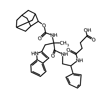 CC(Cc1cc2ccccc2[nH]1)(NC(=O)OC1C2CC3CC(C2)CC1C3)C(=O)NCC(NC(=O)CCC(=O)O)c1ccccc1